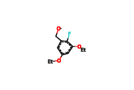 CCOc1cc(C[O])c(F)c(OCC)c1